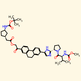 COC(=O)N[C@H](C(=O)N1CCC[C@H]1c1ncc(-c2ccc3c(c2)CCc2cc(C(=O)COC(=O)C[C@H]4CC[C@@H](NC(=O)OC(C)(C)C)C4)ccc2-3)[nH]1)C(C)C